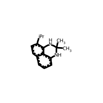 CC(C)c1ccc2cccc3c2c1NC(C)(C)N3